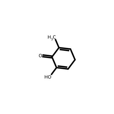 CC1=CCC=C(O)C1=O